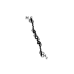 C=CC(=O)OCCCCCCOc1ccc(COC2CCC(OCc3ccc(OCCCCCCOC(=O)C=C)cc3)CC2)cc1